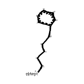 CCCCCCCCCCCCc1[c][c]ccc1